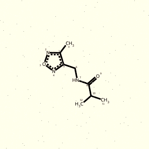 Cc1nonc1CNC(=O)C(C)C